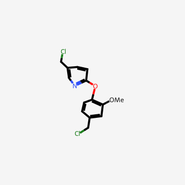 COc1cc(CCl)ccc1Oc1ccc(CCl)cn1